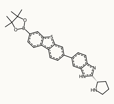 CC1(C)OB(c2ccc3c(c2)sc2cc(-c4ccc5nc([C@@H]6CCCN6)[nH]c5c4)ccc23)OC1(C)C